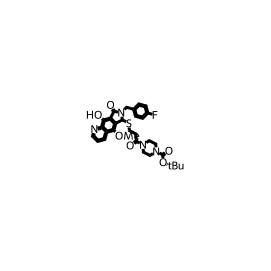 COc1c2c(c(O)c3ncccc13)C(=O)N(Cc1ccc(F)cc1)C2SCCC(=O)N1CCN(C(=O)OC(C)(C)C)CC1